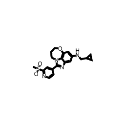 CS(=O)(=O)c1cc(-c2nc3cc(NCC4CC4)cc4c3n2CCCO4)ccn1